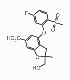 CC1(CO)Cc2c(Oc3cc(F)ccc3S(C)(=O)=O)cc(C(=O)O)cc2O1